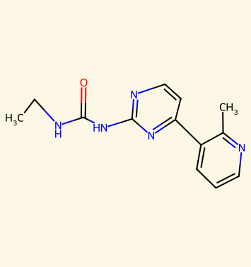 CCNC(=O)Nc1nccc(-c2cccnc2C)n1